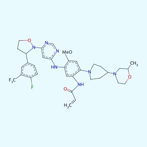 C=CC(=O)Nc1cc(Nc2cc(N3OCCC3c3ccc(F)c(C(F)(F)F)c3)ncn2)c(OC)cc1N1CCC(N2CCOC(C)C2)CC1